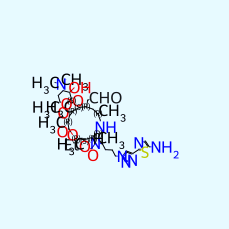 CC[C@H]1OC(=O)[C@H](C)C(=O)[C@H](C)[C@@H](O[C@@H]2OC(C)CC(N(C)C)C2O)[C@@H](CC=O)C[C@@H](C)CN[C@H](C)[C@H]2N(CCCCn3cc(-c4ncc(N)s4)nn3)C(=O)O[C@]12C